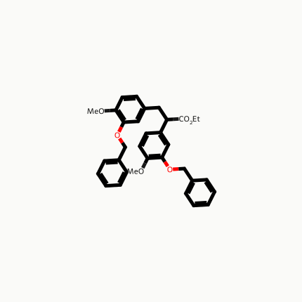 CCOC(=O)C(Cc1ccc(OC)c(OCc2ccccc2)c1)c1ccc(OC)c(OCc2ccccc2)c1